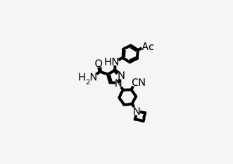 CC(=O)c1ccc(Nc2nn(C3CCC(N4CCC4)CC3C#N)cc2C(N)=O)cc1